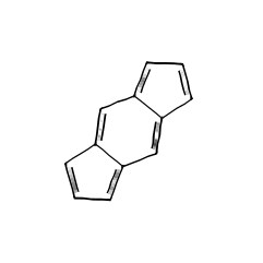 [C]1=CC=c2cc3c(cc21)=CC=C3